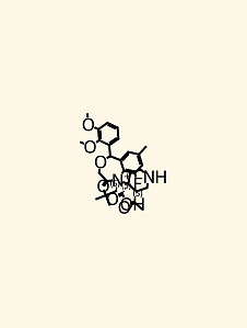 COc1cccc(C2OCC(=O)[N@@+](CC(C)(C)C)([C@@]3(C(=O)O)CCNC[C@@H]3C(C)=O)c3c(F)cc(C)cc32)c1OC